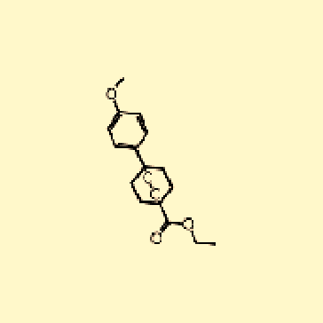 CCOC(=O)C12CCC(c3ccc(OC)cc3)(CC1)CC2